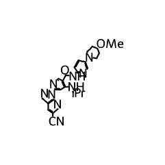 COC1CCN(c2ccc(NC(=O)c3cnc(-n4ncc5cc(C#N)cnc54)cc3NC(C)C)nc2)CC1